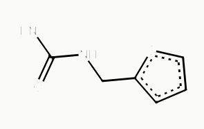 [NH]C(=O)NCc1cccs1